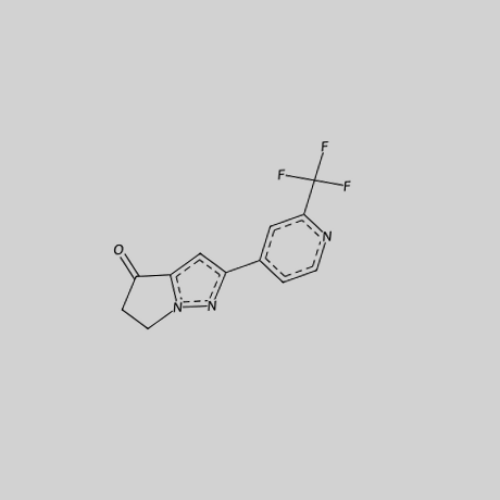 O=C1CCn2nc(-c3ccnc(C(F)(F)F)c3)cc21